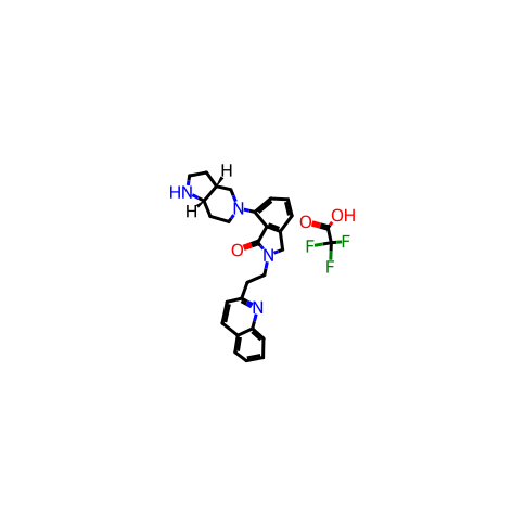 O=C(O)C(F)(F)F.O=C1c2c(cccc2N2CC[C@@H]3NCC[C@@H]3C2)CN1CCc1ccc2ccccc2n1